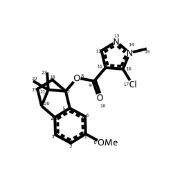 COc1ccc2c(c1)C1(OC(=O)c3cnn(C)c3Cl)CCC2C1(C)C